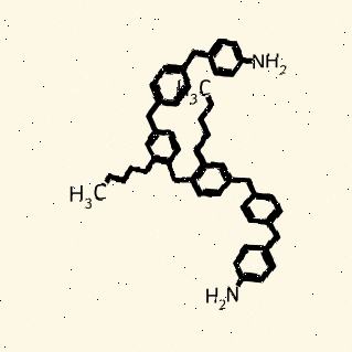 CCCCCc1cc(Cc2ccc(Cc3ccc(N)cc3)cc2)ccc1Cc1ccc(Cc2ccc(Cc3ccc(N)cc3)cc2)cc1CCCCC